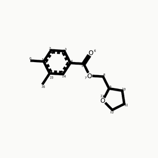 Cc1ccc(C(=O)OCC2CCCO2)cc1C